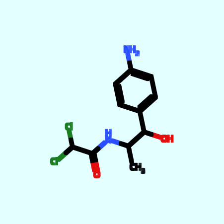 CC(NC(=O)C(Cl)Cl)C(O)c1ccc(N)cc1